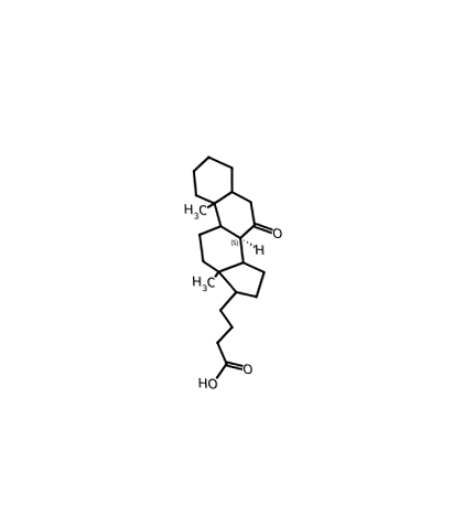 CC12CCC3[C@@H](C(=O)CC4CCCCC43C)C1CCC2CCCC(=O)O